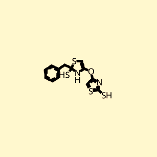 Sc1nc(OC2=CSC(S)(Cc3ccccc3)N2)cs1